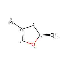 CC(C)C1=CO[C@H](C)C1